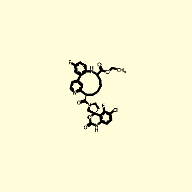 CCOC(=O)C1CCCC[C@@H](C(=O)N2CC[C@@]3(C2)OC(=O)Nc2ccc(Cl)c(F)c23)c2cc(ccn2)-c2cc(F)ccc2N1